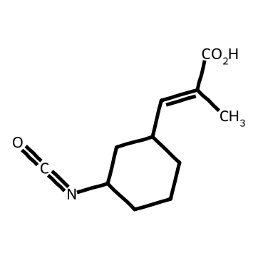 CC(=CC1CCCC(N=C=O)C1)C(=O)O